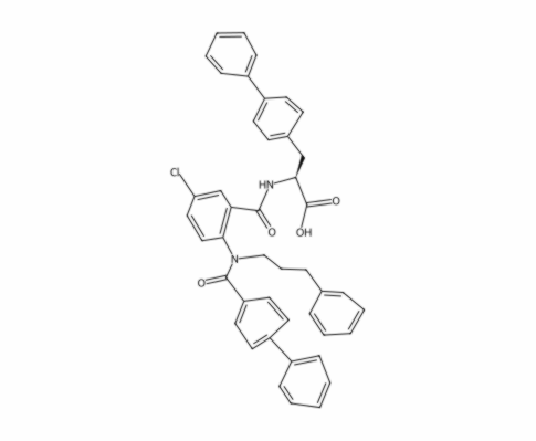 O=C(N[C@@H](Cc1ccc(-c2ccccc2)cc1)C(=O)O)c1cc(Cl)ccc1N(CCCc1ccccc1)C(=O)c1ccc(-c2ccccc2)cc1